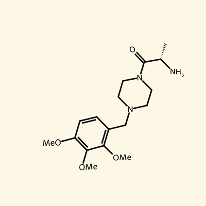 COc1ccc(CN2CCN(C(=O)[C@H](C)N)CC2)c(OC)c1OC